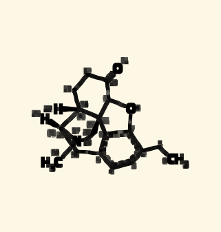 CCc1ccc2c3c1OC1C(=O)CC[C@H]4[C@@H](C2)N(C)CC[C@]314